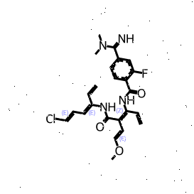 C=C/C(NC(=O)c1ccc(C(=N)N(C)C)cc1F)=C(\C=C\OC)C(=O)N/C(C=C)=C/C=C/Cl